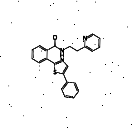 O=C(NCCc1ccccn1)c1ccccc1-c1ncc(-c2ccccc2)s1